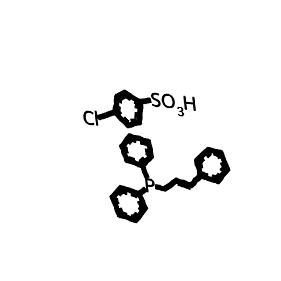 C(=Cc1ccccc1)CP(c1ccccc1)c1ccccc1.O=S(=O)(O)c1ccc(Cl)cc1